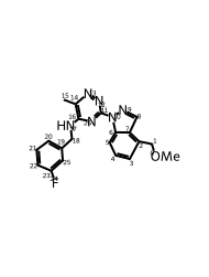 COCc1cccc2c1cnn2-c1nnc(C)c(NCc2cccc(F)c2)n1